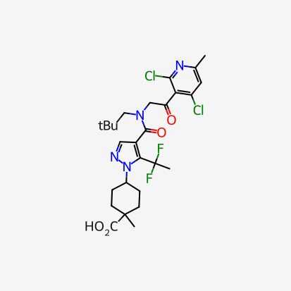 Cc1cc(Cl)c(C(=O)CN(CC(C)(C)C)C(=O)c2cnn(C3CCC(C)(C(=O)O)CC3)c2C(C)(F)F)c(Cl)n1